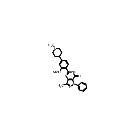 COc1cc(C2CCN(C)CC2)ccc1-c1nc2c(C)nn(-c3ccccc3)c2c(=O)[nH]1